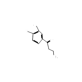 N#CCCC(=O)c1ccc(Cl)c(Cl)c1